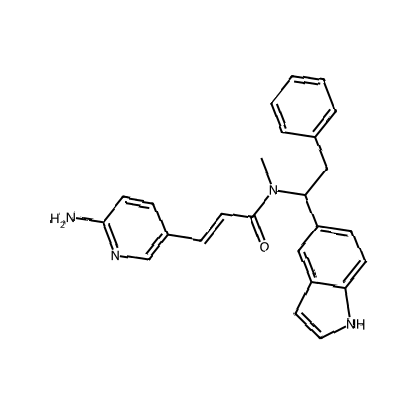 CN(C(=O)C=Cc1ccc(N)nc1)C(Cc1ccccc1)c1ccc2[nH]ccc2c1